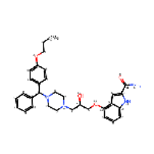 COCCOc1ccc(C(c2ccccc2)N2CCN(CC(O)COc3cccc4[nH]c(C(N)=O)cc34)CC2)cc1